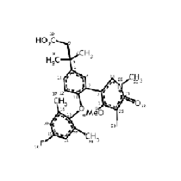 COc1c(-c2cc(C(C)(C)CC(=O)O)ccc2Oc2c(C)cc(F)cc2C)cn(C)c(=O)c1I